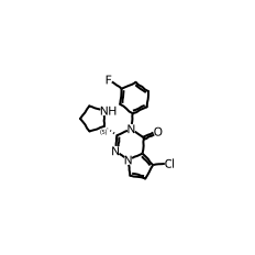 O=c1c2c(Cl)ccn2nc([C@@H]2CCCN2)n1-c1cccc(F)c1